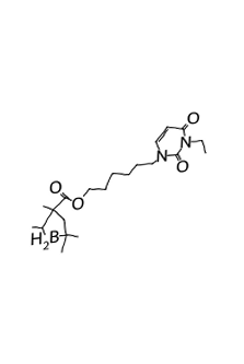 BC(C)(C)CC(C)(C(=O)OCCCCCCn1ccc(=O)n(CC)c1=O)C(C)C